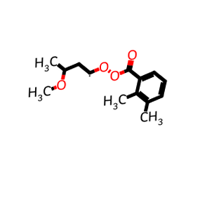 COC(C)C[CH]OOC(=O)c1cccc(C)c1C